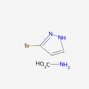 Brc1cc[nH]n1.NC(=O)O